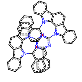 c1ccc(-c2nc(-n3c4ccccc4c4ccc5c6ccccc6n(-c6cccc7ccccc67)c5c43)nc(-n3c4ccccc4c4ccc5c6ccccc6n(-c6cccc7ccccc67)c5c43)n2)cc1